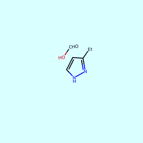 CCc1cc[nH]n1.O=CO